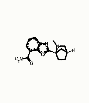 CN1C[C@H]2CC[C@@]1(c1nc3cccc(C(N)=O)c3o1)C2